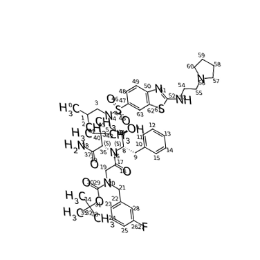 CC(C)CN(C[C@@H](O)[C@H](Cc1ccccc1)N(C(=O)CN(Cc1cccc(F)c1)C(=O)OC(C)(C)C)[C@H](C(N)=O)C(C)(C)C)S(=O)(=O)c1ccc2nc(NCCN3CCCC3)sc2c1